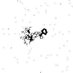 CO[C@](COC(=O)c1ccccc1)([C@H]1OC(C)(C)O[C@H]1C=C(C)C)C(F)(F)F